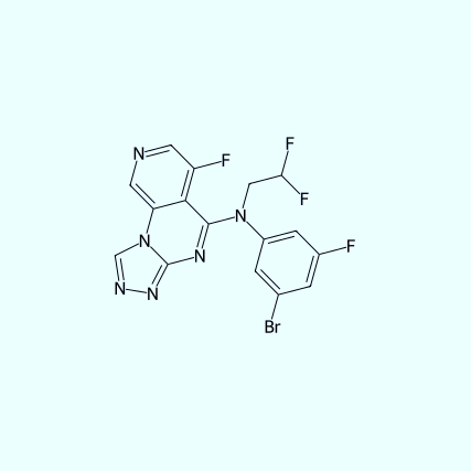 Fc1cc(Br)cc(N(CC(F)F)c2nc3nncn3c3cncc(F)c23)c1